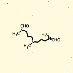 CN(C=O)CCCN(C)CCCN(C)C=O